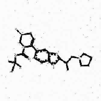 CC(CN1CCCC1)c1nc2cc(C3=CC[C@H](C)CN3C(=O)OC(C)(C)C)ccc2s1